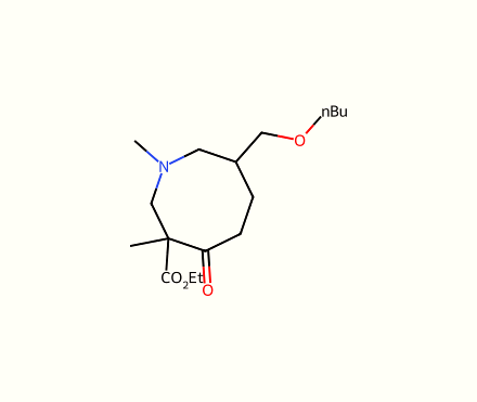 CCCCOCC1CCC(=O)C(C)(C(=O)OCC)CN(C)C1